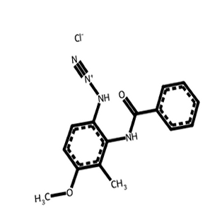 COc1ccc(N[N+]#N)c(NC(=O)c2ccccc2)c1C.[Cl-]